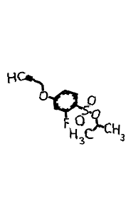 C#CCOc1ccc(S(=O)(=O)OC(C)C)c(F)c1